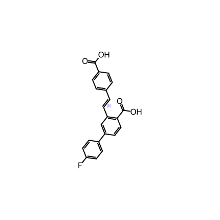 O=C(O)c1ccc(/C=C/c2cc(-c3ccc(F)cc3)ccc2C(=O)O)cc1